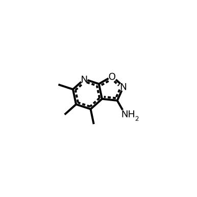 Cc1nc2onc(N)c2c(C)c1C